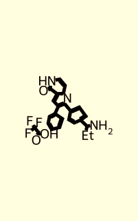 CCC(N)c1ccc(-c2nc3cc[nH]c(=O)c3cc2-c2ccccc2)cc1.O=C(O)C(F)(F)F